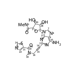 CNC(=O)C1OC(n2cnc3c(N)nc(C#CCN(C)C(=O)c4cncs4)nc32)[C@H](O)[C@@H]1O